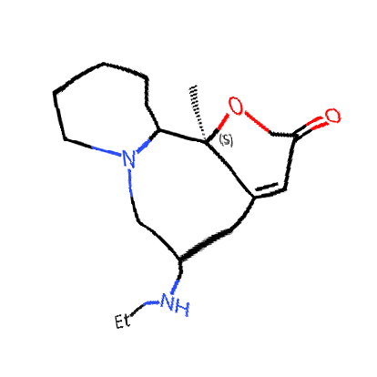 CCNC1CC2=CC(=O)O[C@]2(C)C2CCCCN2C1